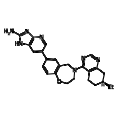 CC[C@H]1CCc2c(ncnc2N2CCOc3ccc(-c4cnc5nc(N)[nH]c5c4)cc3C2)C1